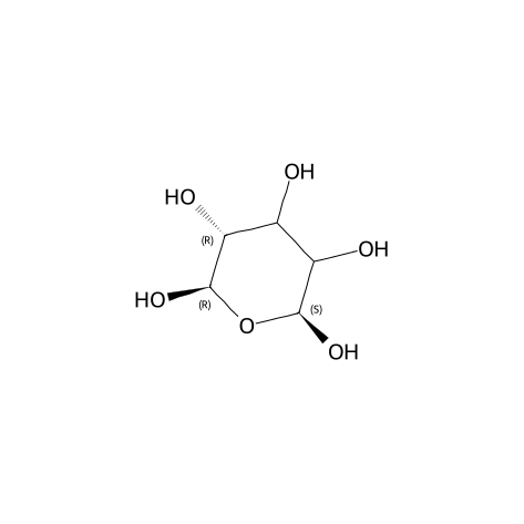 OC1C(O)[C@@H](O)O[C@@H](O)[C@@H]1O